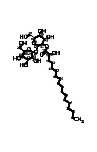 CCCCCCCCCCCCCCCCC(O)C(=O)O[C@H]1[C@@H](O[C@H]2O[C@H](CO)[C@@H](O)[C@H](O)[C@H]2O)O[C@H](CO)[C@@H](O)[C@@H]1O